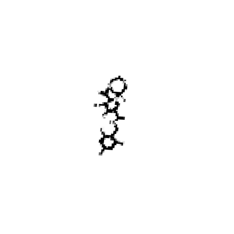 Cc1cc(F)c(CNC(=O)c2cn3c(c(O)c2=O)C(=O)N2CCOC[C@@H]3C2)c(F)c1